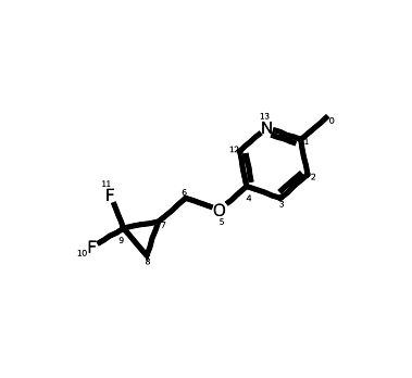 Cc1ccc(OCC2CC2(F)F)cn1